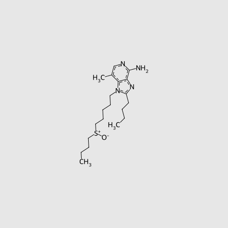 CCCCc1nc2c(N)ncc(C)c2n1CCCCC[S+]([O-])CCCC